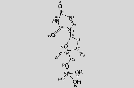 O=c1ncn([C@H]2C[C@H](F)[C@@](F)(COP(=O)(O)O)O2)c(=O)[nH]1